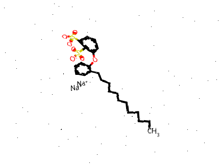 CCCCCCCCCCCCc1ccccc1Oc1cccc(S(=O)(=O)[O-])c1S(=O)(=O)[O-].[Na+].[Na+]